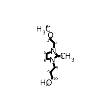 COCCN1CCN(CCCO)C1C